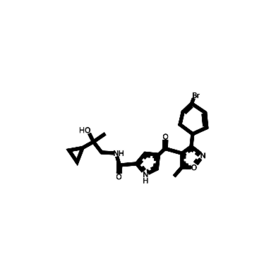 Cc1onc(C2C=CC(Br)=CC2)c1C(=O)c1c[nH]c(C(=O)NCC(C)(O)C2CC2)c1